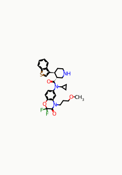 COCCCN1C(=O)C(F)(F)Oc2ccc(N(C(=O)[C@H]3CNCC[C@@H]3c3csc4ccccc34)C3CC3)cc21